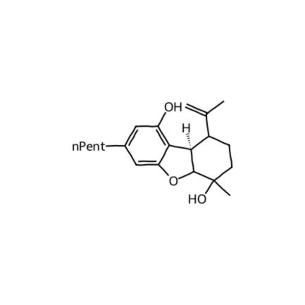 C=C(C)C1CCC(C)(O)C2Oc3cc(CCCCC)cc(O)c3[C@@H]12